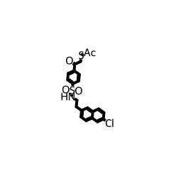 CC(=O)SCC(=O)c1ccc(S(=O)(=O)NCCc2ccc3cc(Cl)ccc3c2)cc1